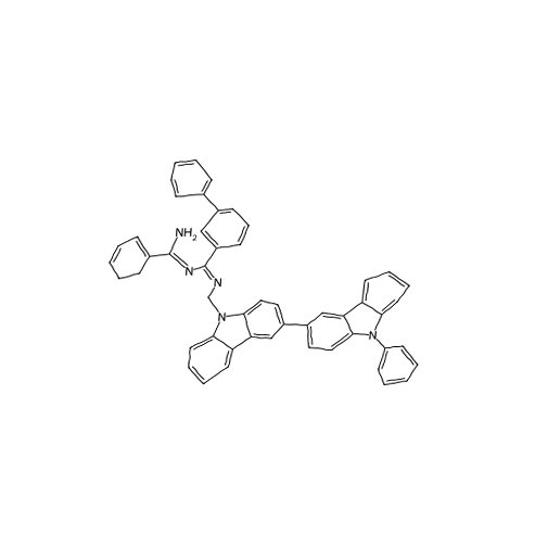 N/C(=N\C(=N/Cn1c2ccccc2c2cc(-c3ccc4c(c3)c3ccccc3n4-c3ccccc3)ccc21)c1cccc(-c2ccccc2)c1)C1=CC=CCC1